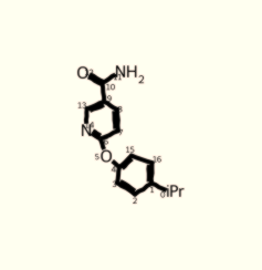 CC(C)c1ccc(Oc2ccc(C(N)=O)cn2)cc1